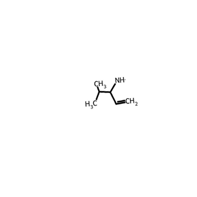 C=CC([NH])C(C)C